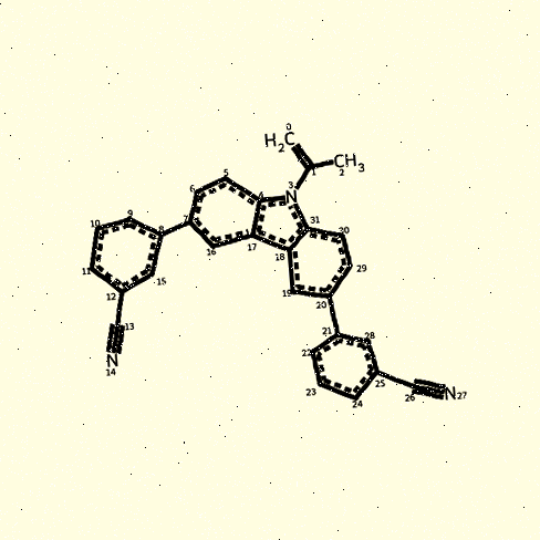 C=C(C)n1c2ccc(-c3cccc(C#N)c3)cc2c2cc(-c3cccc(C#N)c3)ccc21